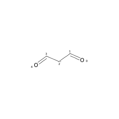 O=C[CH]C=O